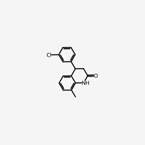 Cc1cccc2c1NC(=O)CC2c1cccc(Cl)c1